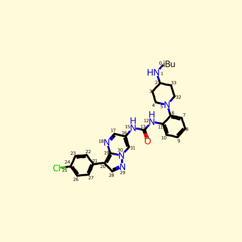 CCC(C)NC1CCN(c2ccccc2NC(=O)Nc2cnc3c(-c4ccc(Cl)cc4)cnn3c2)CC1